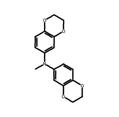 CN(c1ccc2c(c1)OCCO2)c1ccc2c(c1)OCCO2